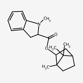 CN1c2ccccc2CC1C(=O)OC1CC2CCC1(C)C2(C)C